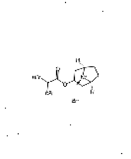 CCCC(CCC)C(=O)OC1C[C@H]2CC[C@@H](C1)[N+]2(C)C.[Br-]